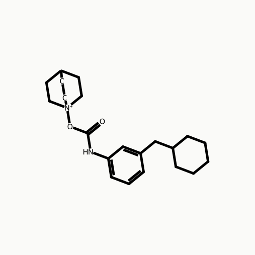 O=C(Nc1cccc(CC2CCCCC2)c1)O[N+]12CCC(CC1)CC2